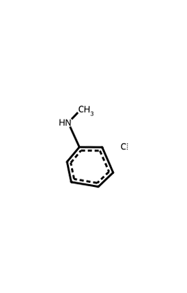 CNc1ccccc1.[C]